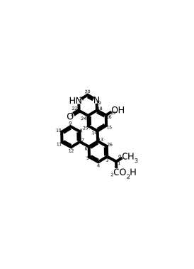 CC(C(=O)O)c1ccc(-c2ccccc2)c(-c2cc(O)c3nc[nH]c(=O)c3c2)c1